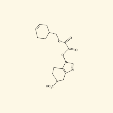 O=C(OCC1CC=CCC1)C(=O)On1cnc2c1CCN(C(=O)O)C2